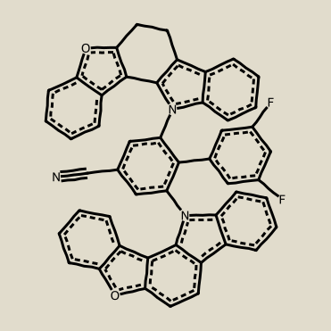 N#Cc1cc(-n2c3c(c4ccccc42)CCc2oc4ccccc4c2-3)c(-c2cc(F)cc(F)c2)c(-n2c3ccccc3c3ccc4oc5ccccc5c4c32)c1